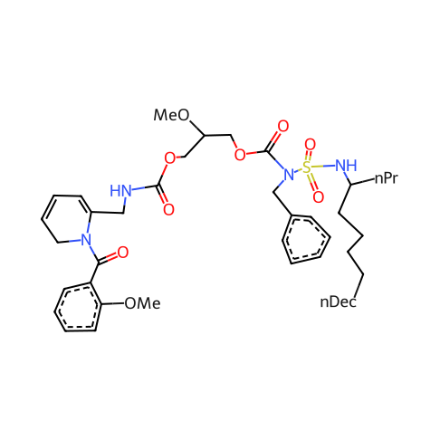 CCCCCCCCCCCCCCC(CCC)NS(=O)(=O)N(Cc1ccccc1)C(=O)OCC(COC(=O)NCC1=CC=CCN1C(=O)c1ccccc1OC)OC